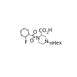 CCCCCCN1CCN(S(=O)(=O)c2ccccc2F)C(C(=O)O)C1